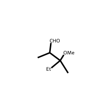 CCC(C)(OC)C(C)C=O